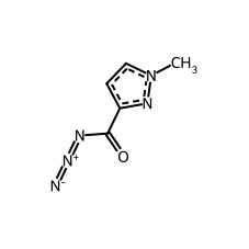 Cn1ccc(C(=O)N=[N+]=[N-])n1